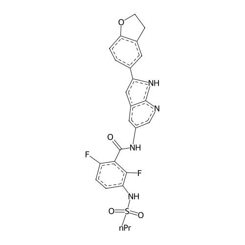 CCCS(=O)(=O)Nc1ccc(F)c(C(=O)Nc2cnc3[nH]c(-c4ccc5c(c4)CCO5)cc3c2)c1F